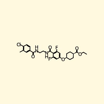 CCOC(=O)[C@H]1CC[C@@H](Oc2cc(F)c(C(=O)NCCNC(=O)c3ccc(Cl)c(C)c3)c(F)c2)CC1